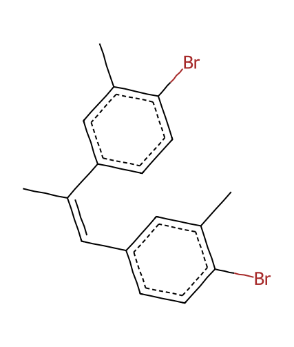 CC(=Cc1ccc(Br)c(C)c1)c1ccc(Br)c(C)c1